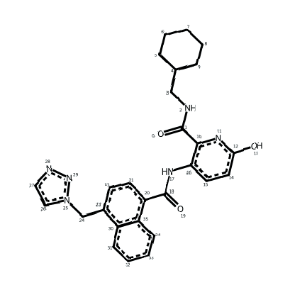 O=C(NCC1CCCCC1)c1nc(O)ccc1NC(=O)c1ccc(Cn2ccnn2)c2ccccc12